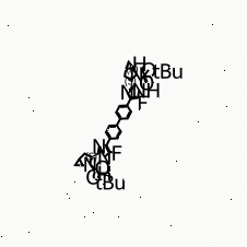 CC(C)(C)OC(=O)N1C2CC2C[C@H]1c1nc(-c2ccc(-c3ccc(-c4nc([C@@H]5CC6C[C@H]6N5C(=O)OC(C)(C)C)[nH]c4F)cc3)cc2)c(F)[nH]1